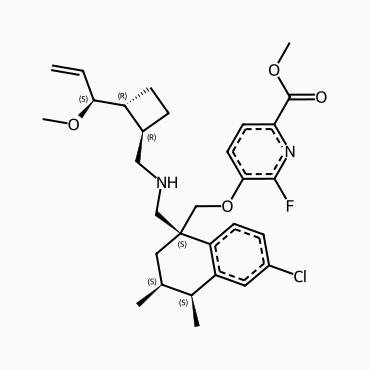 C=C[C@H](OC)[C@@H]1CC[C@H]1CNC[C@]1(COc2ccc(C(=O)OC)nc2F)C[C@H](C)[C@H](C)c2cc(Cl)ccc21